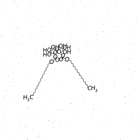 CCCCCCCCCCCCCCCCCCCc1ccc(C(=O)OC[C@H]2O[C@H](O[C@H]3O[C@H](COC(=O)c4ccc(CCCCCCCCCCCCCCCCCCC)cc4)[C@@H](O)[C@H](O)[C@H]3O)[C@H](O)[C@@H](O)[C@@H]2O)cc1